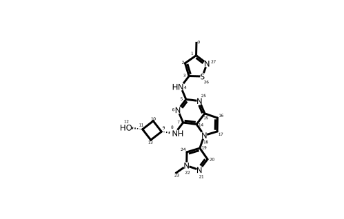 Cc1cc(Nc2nc(N[C@H]3C[C@@H](O)C3)c3c(ccn3-c3cnn(C)c3)n2)sn1